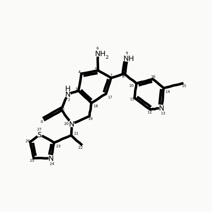 C=C1Nc2cc(N)c(C(=N)c3ccnc(C)c3)cc2CN1C(C)c1nccs1